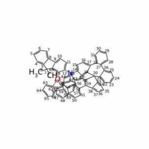 CC1(C)c2ccccc2-c2ccc(N(c3ccc4c(c3)C3(c5ccccc5-c5ccccc5-4)c4ccccc4-c4c3cc3ccc5cccc6ccc4c3c56)c3cccc4c3oc3ccccc34)cc21